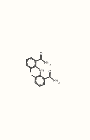 Cc1cccc(C(N)=O)c1Nc1c(C)cccc1C(N)=O